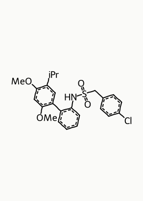 COc1cc(OC)c(C(C)C)cc1-c1ccccc1NS(=O)(=O)Cc1ccc(Cl)cc1